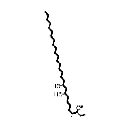 CCCCCCCCCCCCCCCCCC[C@H](O)C[C@H](O)CCCC[C@@H](C)[C@H](CC)OC